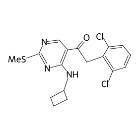 CSc1ncc(C(=O)Cc2c(Cl)cccc2Cl)c(NC2CCC2)n1